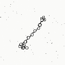 O=C(COCCOCCOCCOCCOc1ccc(/C=C/S(=O)(=O)F)cc1)ON1C(=O)CCC1=O